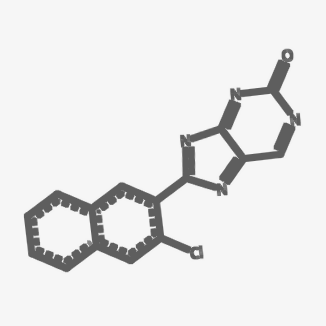 O=C1N=CC2=NC(c3cc4ccccc4cc3Cl)=NC2=N1